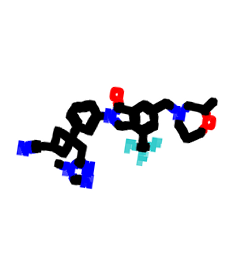 CC1CN(Cc2cc3c(c(C(F)(F)F)c2)CN(c2cccc(C4(Cc5nncn5C)CC(C#N)C4)c2)C3=O)CCCO1